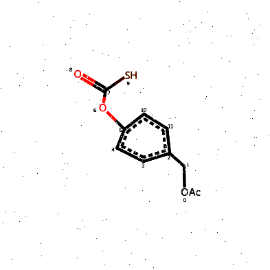 CC(=O)OCc1ccc(OC(=O)S)cc1